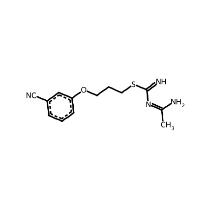 C/C(N)=N/C(=N)SCCCOc1cccc(C#N)c1